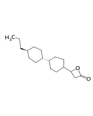 CCC[C@H]1CC[C@H](C2CCC(C3CC(=O)O3)CC2)CC1